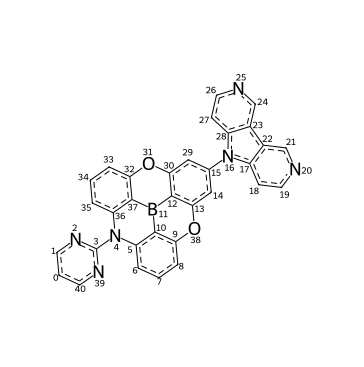 c1cnc(N2c3cccc4c3B3c5c(cc(-n6c7ccncc7c7cnccc76)cc5Oc5cccc2c53)O4)nc1